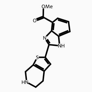 COC(=O)c1cccc2[nH]c(-c3cc4c(s3)CNCC4)nc12